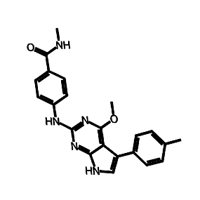 CNC(=O)c1ccc(Nc2nc(OC)c3c(-c4ccc(C)cc4)c[nH]c3n2)cc1